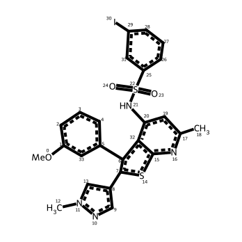 COc1cccc(-c2c(-c3cnn(C)c3)sc3nc(C)cc(NS(=O)(=O)c4cccc(I)c4)c23)c1